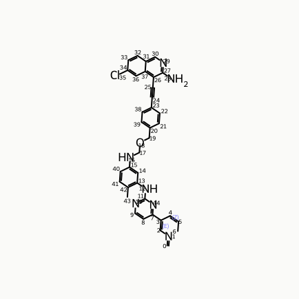 C=N/C=C(\C=C/C)c1ccnc(Nc2cc(NCOCc3ccc(C#Cc4c(N)ncc5ccc(Cl)cc45)cc3)ccc2C)n1